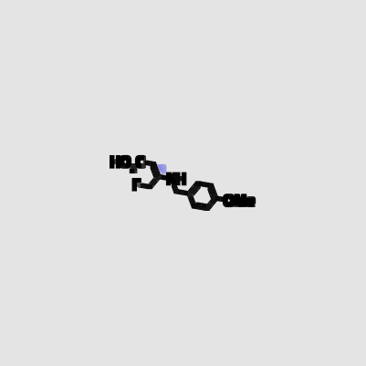 COc1ccc(CN/C(=C/C(=O)O)CF)cc1